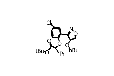 CCCCO[C@@H]1CON=C1c1cc(Cl)ccc1O[C@H](C(=O)OC(C)(C)C)C(C)C